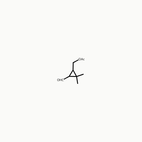 CC(=O)OCC1C(C=O)C1(C)C